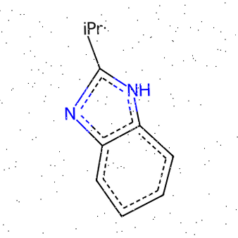 C[C](C)c1nc2ccccc2[nH]1